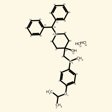 CC(C)Oc1ccc(N(C)CC2(O)CCN(C(c3ccccc3)c3ccccc3)CC2)cc1.Cl.Cl